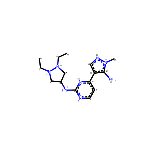 CCN1CC(Nc2nccc(-c3cnn(C)c3N)n2)CN1CC